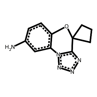 Nc1ccc2c(c1)-n1nnnc1C1(CCC1)O2